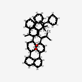 CC\C(C)=C(/C=C(\N=C(/C)c1ccccc1)c1ccccc1)c1ccc(-c2cccc3cccc(-c4ccc(-c5cc6c(cc5C)-c5ccccc5C6(C)C)cc4)c23)cc1